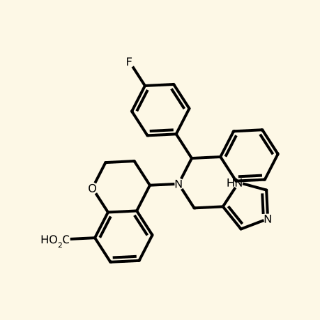 O=C(O)c1cccc2c1OCCC2N(Cc1cnc[nH]1)C(c1ccccc1)c1ccc(F)cc1